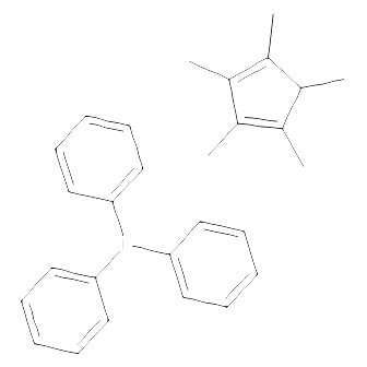 CC1=C(C)C(C)C(C)=C1C.c1ccc(P(c2ccccc2)c2ccccc2)cc1